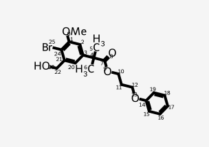 COc1cc(C(C)(C)C(=O)OCCCOc2ccccc2)cc(CO)c1Br